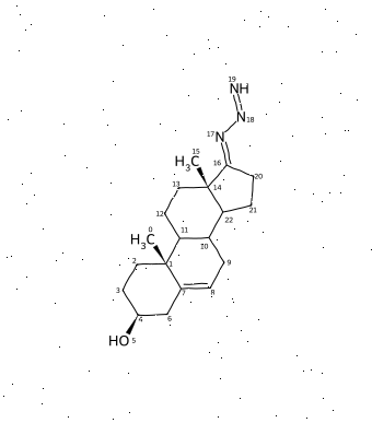 C[C@]12CC[C@H](O)CC1=CCC1C2CC[C@]2(C)C(=NN=N)CCC12